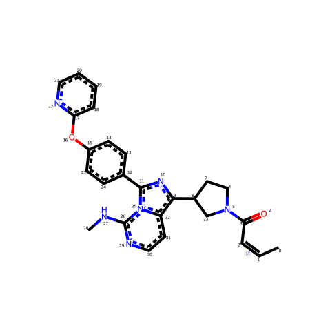 C/C=C\C(=O)N1CCC(c2nc(-c3ccc(Oc4ccccn4)cc3)n3c(NC)nccc23)C1